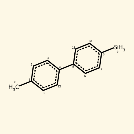 Cc1ccc(-c2ccc([SiH3])cc2)cc1